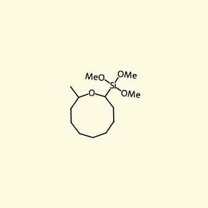 CO[Si](OC)(OC)C1CCCCCCCC(C)O1